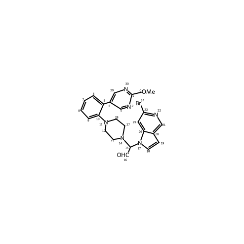 COc1ncc(-c2ccccc2N2CCN(C(C=O)n3ccc4cnc(Br)cc43)CC2)cn1